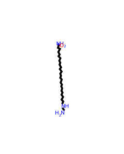 NCCNCCCCCCCCCCCCCCCCCCCCCCCCCCCC(N)=O